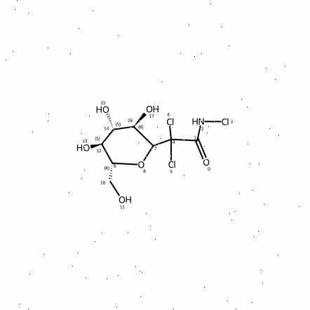 O=C(NCl)C(Cl)(Cl)C1O[C@H](CO)[C@@H](O)[C@H](O)[C@H]1O